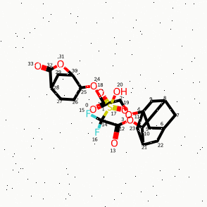 O=C(COC12CC3CC(C1)C(OC(=O)C(F)(F)S(=O)(=O)O)C(C3)C2)OC1CCC2CC1OC2=O